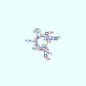 CC(O)C1NC(=O)[C@H](CCCCN)NC(=O)[C@@H](CCCNC(N)=O)NC(=O)[C@H](Cc2ccc(O)cc2)NC(=O)[C@H](NC(=O)[C@@H](N)Cc2ccc(Cl)cc2)CSSC[C@@H](C(=O)N[C@H](Cc2ccc(O)cc2)C(N)=O)NC1=O